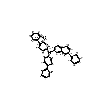 c1ccc(-c2ccc(N(c3ccc4ccc(-c5ccccc5)cc4c3)c3ccc4c(n3)oc3ccccc34)cc2)cc1